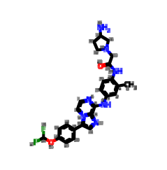 Cc1cc(Nc2nccn3c(-c4ccc(OC(F)F)cc4)cnc23)ccc1NC(=O)CN1CCC(N)C1